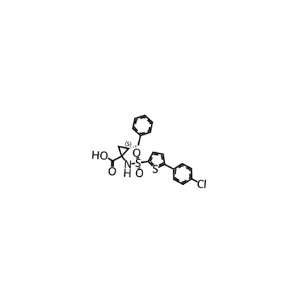 O=C(O)C1(NS(=O)(=O)c2ccc(-c3ccc(Cl)cc3)s2)C[C@@H]1Cc1ccccc1